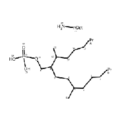 CC(C)CCCC(C)CCC(COP(=O)(O)O)C(C)CCCC(C)C.CCCCCCCCN